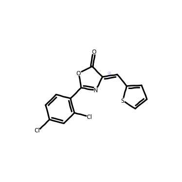 O=C1OC(c2ccc(Cl)cc2Cl)=N/C1=C\c1cccs1